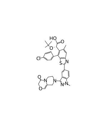 Cc1cc2nc(-c3ccc4c(c3)c(N3CCN5C(=O)COC=C5C3)nn4C)sc2c(-c2ccc(Cl)cc2)c1[C@H](OC(C)(C)C)C(=O)O